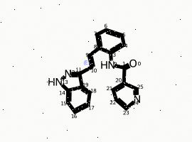 O=C(Nc1ccccc1/C=C/c1n[nH]c2ccccc12)c1cccnc1